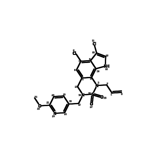 C=CCN1c2c(cc(Cl)c3c(Cl)c[nH]c23)CN(Cc2ccc(OC)nc2)S1(=O)=O